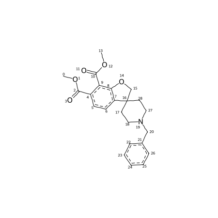 COC(=O)c1ccc2c(c1C(=O)OC)OCC21CCN(Cc2ccccc2)CC1